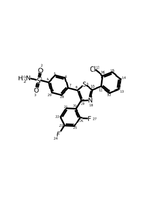 NS(=O)(=O)c1ccc(-c2sc(-c3ccccc3Cl)nc2-c2ccc(F)cc2F)cc1